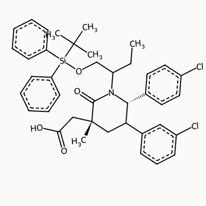 CCC(CO[Si](c1ccccc1)(c1ccccc1)C(C)(C)C)N1C(=O)[C@@](C)(CC(=O)O)CC(c2cccc(Cl)c2)[C@H]1c1ccc(Cl)cc1